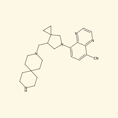 N#Cc1ccc(N2CC(CN3CCC4(CCNCC4)CC3)C3(CC3)C2)c2nccnc12